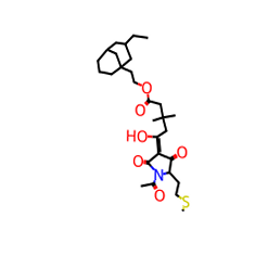 CCC1CC2CCCC(CCOC(=O)CC(C)(C)C/C(O)=C3\C(=O)C(CCSC)N(C(C)=O)C3=O)(C1)C2